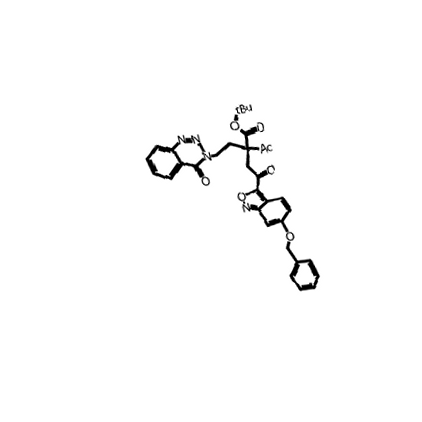 CC(=O)C(CCn1nnc2ccccc2c1=O)(CC(=O)c1onc2cc(OCc3ccccc3)ccc12)C(=O)OC(C)(C)C